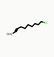 O=CC#CCCCCCCCCl